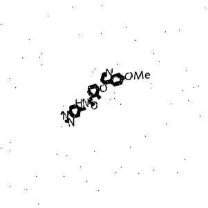 COc1ccc2c(Oc3cccc(C(=O)NCc4ccc5c(c4)ncn5C)c3C)ccnc2c1